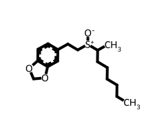 CCCCCCC(C)[S+]([O-])CCc1ccc2c(c1)OCO2